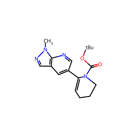 Cn1ncc2cc(C3=CCCCN3C(=O)OC(C)(C)C)cnc21